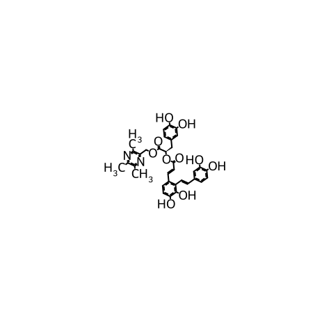 Cc1nc(C)c(COC(=O)[C@@H](Cc2ccc(O)c(O)c2)OC(=O)/C=C/c2ccc(O)c(O)c2/C=C/c2ccc(O)c(O)c2)nc1C